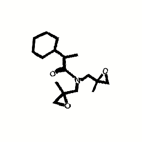 CC(C(=O)N(CC1(C)CO1)CC1(C)CO1)C1CCCCC1